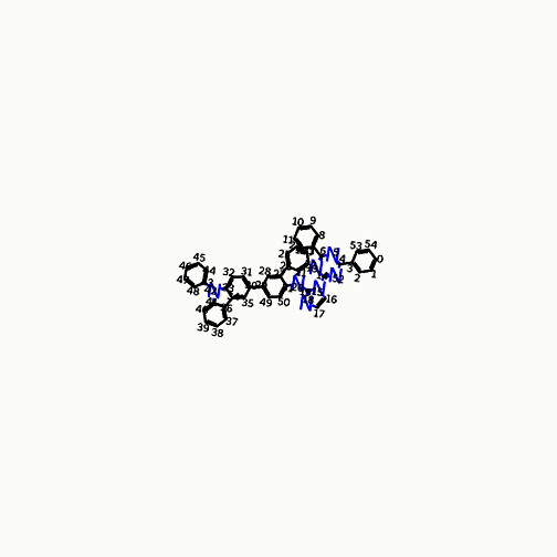 c1ccc(-c2nc(-c3ccccc3)nc(-n3ccnc3-n3c4ccccc4c4cc(-c5ccc6c(c5)c5ccccc5n6-c5ccccc5)ccc43)n2)cc1